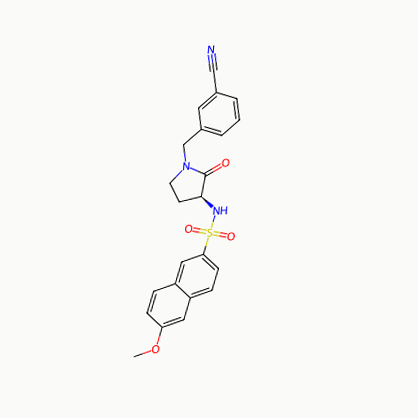 COc1ccc2cc(S(=O)(=O)N[C@H]3CCN(Cc4cccc(C#N)c4)C3=O)ccc2c1